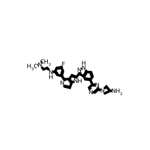 CN(C)CCNc1cc(F)cc(-c2nccc3[nH]c(-c4n[nH]c5ccc(-c6cncc(N7CC(N)C7)n6)cc45)cc23)c1